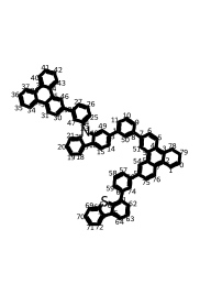 C1=Cc2c(c3ccc(-c4cccc(-c5ccc6c7ccccc7n(-c7cccc(-c8ccc9c%10ccccc%10c%10ccccc%10c9c8)c7)c6c5)c4)cc3c3cc(-c4cccc(-c5cccc6c5sc5ccccc56)c4)ccc23)CC1